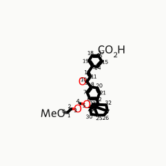 COCCOCOc1cc(C(=O)C=Cc2ccc(C(=O)O)cc2)ccc1C12CC3CC(CC(C3)C1)C2